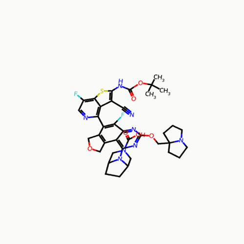 CC(C)(C)OC(=O)Nc1sc2c(F)cnc(-c3c4c(c5c(N6C7CCC6CN(C(=O)O)C7)nc(OCC67CCCN6CCC7)nc5c3F)COC4)c2c1C#N